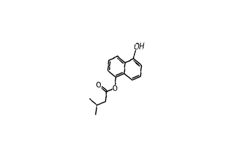 CC(C)CC(=O)Oc1cccc2c(O)cccc12